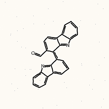 O=Cc1ccc2c(c1=c1cccc3c1=Nc1ccccc1-3)=Nc1ccccc1-2